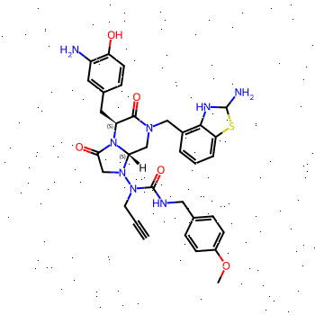 C#CCN(C(=O)NCc1ccc(OC)cc1)N1CC(=O)N2[C@@H](Cc3ccc(O)c(N)c3)C(=O)N(Cc3cccc4c3NC(N)S4)C[C@@H]21